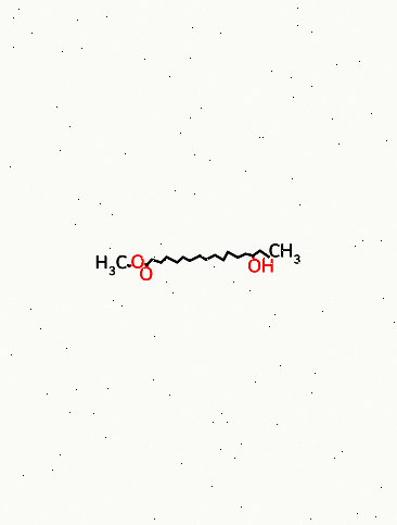 CCCC(O)CCCCCCCCCCCCCC(=O)OCC